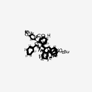 CC(C)(C)O[C@@H]1C[C@@H](C(=O)[N+]2(c3nn(Cc4ccccc4)c([N+]4(C(=O)[C@@H]5C[C@@H](OC(C)(C)C)CN5C(=O)O)C5=CC=C4C=C5)c3Cc3ccccc3)C3=CC=C2C=C3)N(C(=O)O)C1